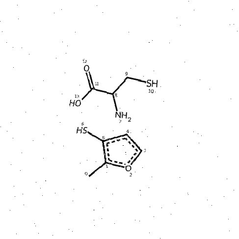 Cc1occc1S.NC(CS)C(=O)O